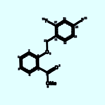 COC(=O)c1ccccc1OCc1ccc(F)cc1F